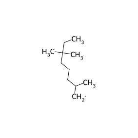 [CH2]C(C)CCCC(C)(C)CC